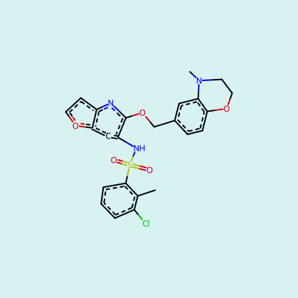 Cc1c(Cl)cccc1S(=O)(=O)Nc1cc2occc2nc1OCc1ccc2c(c1)N(C)CCO2